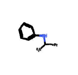 CCCC(Nc1ccccc1)[N+](=O)[O-]